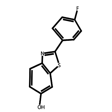 Oc1ccc2nc(-c3ccc(F)cc3)sc2c1